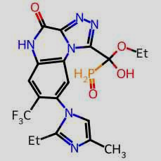 CCOC(O)([PH2]=O)c1nnc2c(=O)[nH]c3cc(C(F)(F)F)c(-n4cc(C)nc4CC)cc3n12